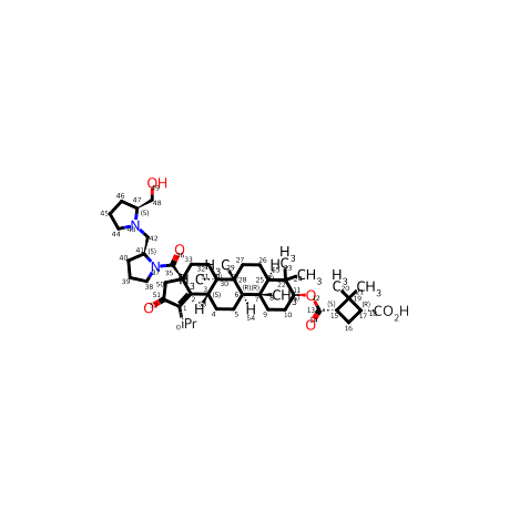 CC(C)C1=C2[C@H]3CC[C@@H]4[C@@]5(C)CC[C@H](OC(=O)[C@H]6C[C@@H](C(=O)O)C6(C)C)C(C)(C)[C@@H]5CC[C@@]4(C)[C@]3(C)CC[C@@]2(C(=O)N2CCC[C@H]2CN2CCC[C@H]2CO)CC1=O